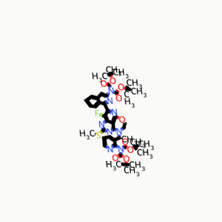 CSc1nc2c3c(nc(-c4nc(N(C(=O)OC(C)(C)C)C(=O)OC(C)(C)C)cc5ccccc45)c(F)c3n1)OCCN2[C@H](C)c1cccnc1N(C(=O)OC(C)(C)C)C(=O)OC(C)(C)C